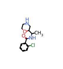 CC(NC(=O)c1ccccc1Cl)C1CNCCO1